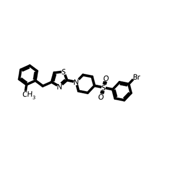 Cc1ccccc1Cc1csc(N2CCC(S(=O)(=O)c3cccc(Br)c3)CC2)n1